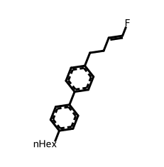 CCCCCCc1ccc(-c2ccc(CCC=CF)cc2)cc1